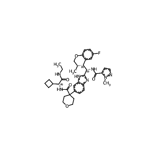 CCNC(=O)[C@H](NC(=O)C1(c2ccc3nc([C@@H](NC(=O)c4ccnn4C)[C@H]4c5cc(F)ccc5OCC4C)[nH]c3c2)CCOCC1)C1CCC1